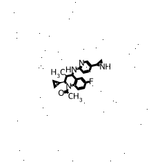 CC(=O)N1c2ccc(F)cc2C(Nc2ccc(C3CN3)cn2)[C@@H](C)[C@@H]1C1CC1